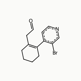 O=CCC1=C(c2ccncc2Br)CCCC1